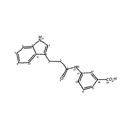 O=C(CCc1c[nH]c2ccccc12)Nc1cccc(C(=O)O)c1